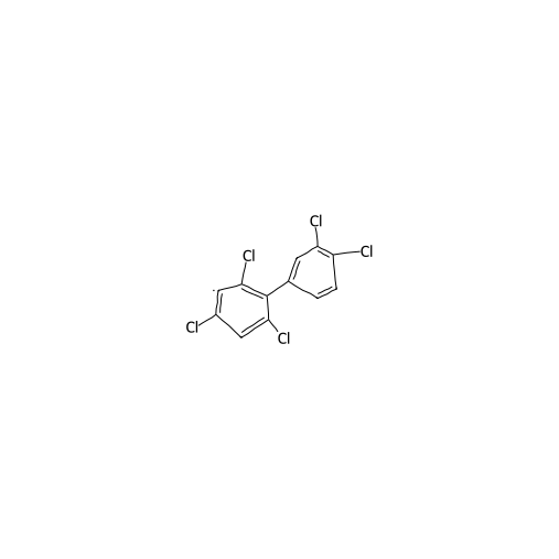 Clc1[c]c(Cl)c(-c2ccc(Cl)c(Cl)c2)c(Cl)c1